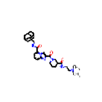 CN(C)CCNC(=O)C1CCCN(C(=O)c2cn3c(C(=O)NCC45CC6CC(CC(C6)C4)C5)cccc3n2)C1